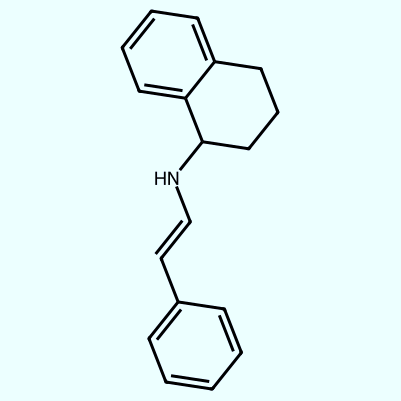 C(=Cc1ccccc1)NC1CCCc2ccccc21